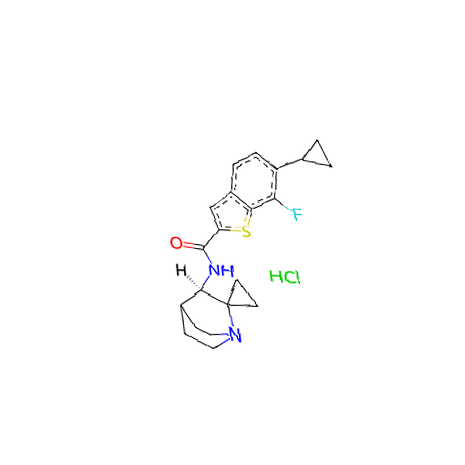 Cl.O=C(N[C@@H]1C2CCN(CC2)C12CC2)c1cc2ccc(C3CC3)c(F)c2s1